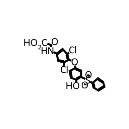 O=C(O)C(=O)Nc1cc(Cl)c(Oc2ccc(O)c(S(=O)(=O)c3ccccc3)c2)c(Cl)c1